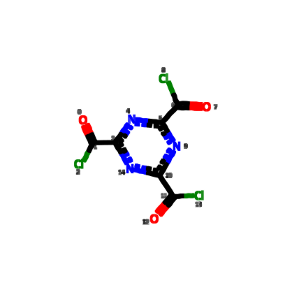 O=C(Cl)c1nc(C(=O)Cl)nc(C(=O)Cl)n1